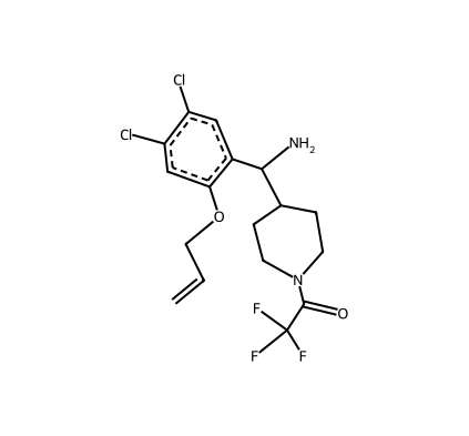 C=CCOc1cc(Cl)c(Cl)cc1C(N)C1CCN(C(=O)C(F)(F)F)CC1